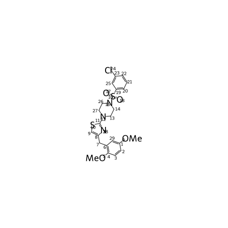 COc1ccc(OC)c(Cc2csc(N3CCN(S(=O)(=O)c4cccc(Cl)c4)CC3)n2)c1